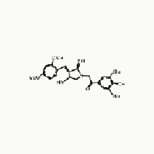 CCCC1CN(CC(=O)c2cc(C(C)(C)C)c(O)c(C(C)(C)C)c2)C(=N)/C1=C/c1ccc(OC)cc1OC